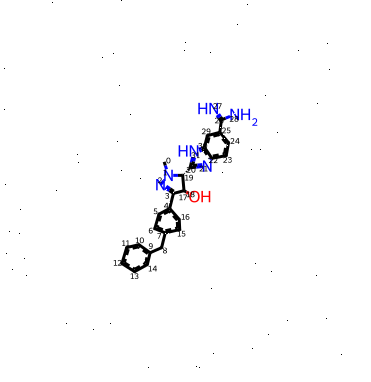 CN1N=C(c2ccc(Cc3ccccc3)cc2)C(O)[C@H]1c1nc2ccc(C(=N)N)cc2[nH]1